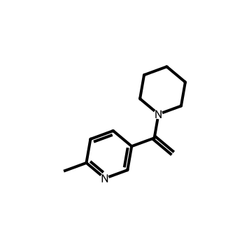 C=C(c1ccc(C)nc1)N1CCCCC1